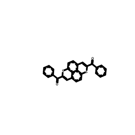 O=C(C1=Cc2ccc3c4c(ccc(c24)S1)C=C(C(=O)c1ccccc1)S3)c1ccccc1